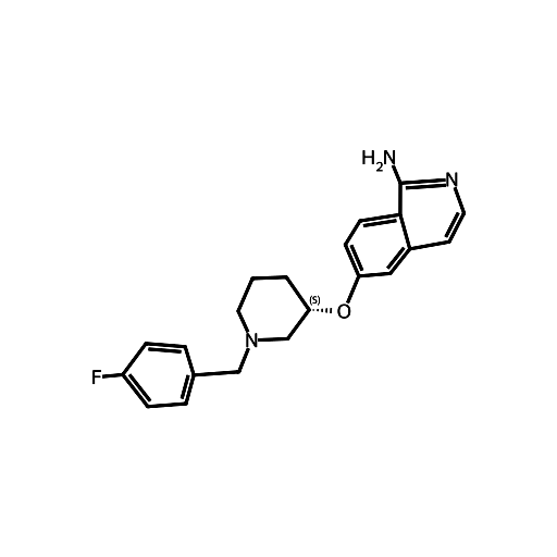 Nc1nccc2cc(O[C@H]3CCCN(Cc4ccc(F)cc4)C3)ccc12